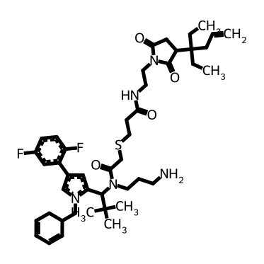 C=CCC(CC)(CC)C1CC(=O)N(CCNC(=O)CCSCC(=O)N(CCCN)C(c2cc(-c3cc(F)ccc3F)cn2CC2C=CC=CC2)C(C)(C)C)C1=O